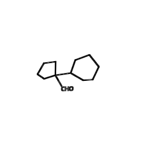 O=CC1(C2CCCCC2)CCCC1